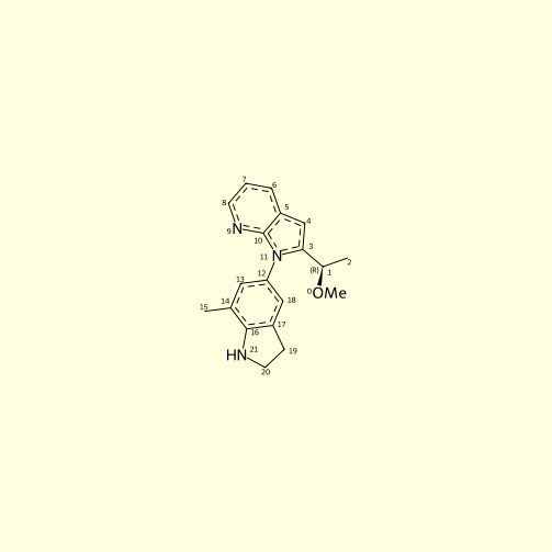 CO[C@H](C)c1cc2cccnc2n1-c1cc(C)c2c(c1)CCN2